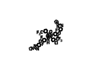 O=C(Nc1cccc(C(F)(F)F)c1)N(c1cc(F)c(Oc2ccc3ncc(N4CCCC4)nc3c2)c(F)c1)N(C(=O)Nc1cc(F)c(Oc2ccc3ncc(N4CCCC4)nc3c2)c(F)c1)c1ccc(Cl)c(C(F)(F)F)c1